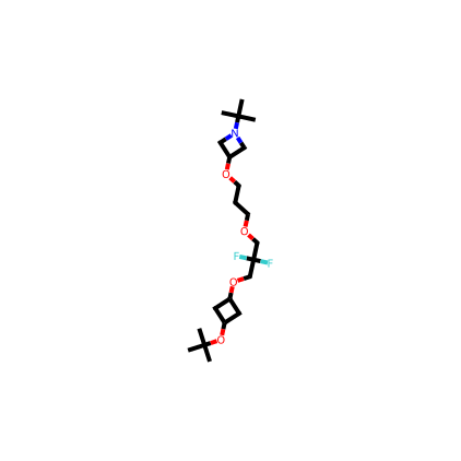 CC(C)(C)OC1CC(OCC(F)(F)COCCCOC2CN(C(C)(C)C)C2)C1